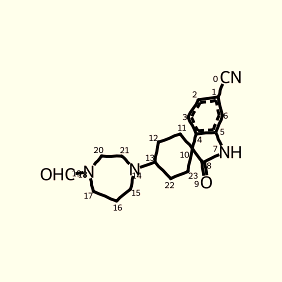 N#Cc1ccc2c(c1)NC(=O)C21CCC(N2CCCN(C=O)CC2)CC1